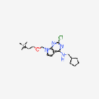 C[Si](C)(C)CCOCn1ccc2c(NCC3CCCC3)nc(Cl)nc21